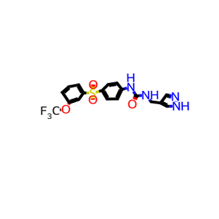 O=C(NCc1cn[nH]c1)Nc1ccc(S(=O)(=O)c2cccc(OC(F)(F)F)c2)cc1